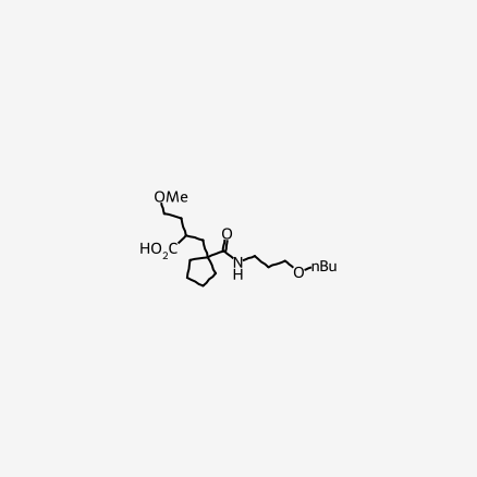 CCCCOCCCNC(=O)C1(CC(CCOC)C(=O)O)CCCC1